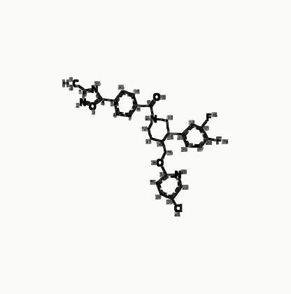 Cc1noc(-c2ccc(C(=O)N3CCC(COc4ccc(Cl)cn4)C(c4ccc(F)c(F)c4)C3)cc2)n1